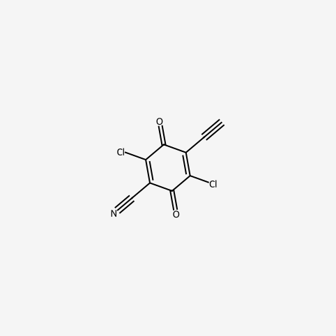 C#CC1=C(Cl)C(=O)C(C#N)=C(Cl)C1=O